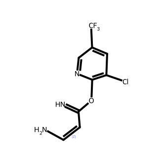 N=C(/C=C\N)Oc1ncc(C(F)(F)F)cc1Cl